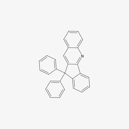 c1ccc(C2(c3ccccc3)c3ccccc3-c3nc4ccccc4cc32)cc1